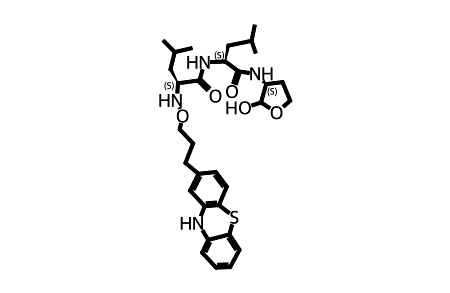 CC(C)C[C@H](NOCCCc1ccc2c(c1)Nc1ccccc1S2)C(=O)N[C@@H](CC(C)C)C(=O)N[C@H]1CCOC1O